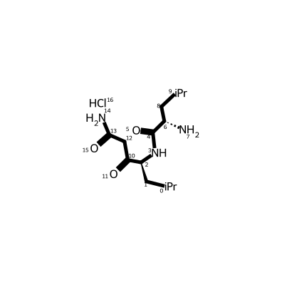 CC(C)C[C@H](NC(=O)[C@@H](N)CC(C)C)C(=O)CC(N)=O.Cl